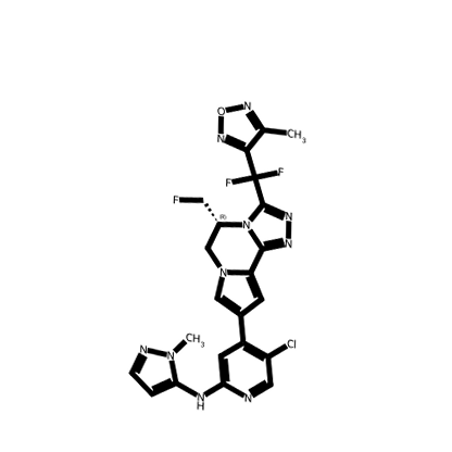 Cc1nonc1C(F)(F)c1nnc2n1[C@@H](CF)Cn1cc(-c3cc(Nc4ccnn4C)ncc3Cl)cc1-2